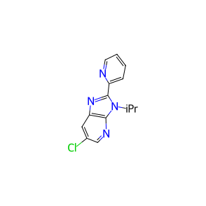 CC(C)n1c(-c2ccccn2)nc2cc(Cl)cnc21